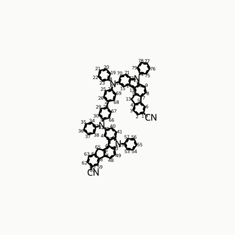 N#Cc1ccc2c(c1)-c1ccc3c(c1C2)c1cc(N(c2ccccc2)c2ccc(-c4ccc(N(c5ccccc5)c5ccc6c(c5)c5c7c(ccc5n6-c5ccccc5)-c5cc(C#N)ccc5C7)cc4)cc2)ccc1n3-c1ccccc1